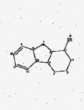 CCC1CCCC2C1[C]C1C=CC=CC12